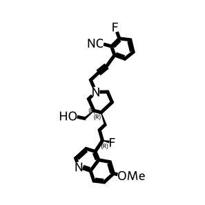 COc1ccc2nccc([C@H](F)CC[C@@H]3CCN(CC#Cc4cccc(F)c4C#N)C[C@@H]3CO)c2c1